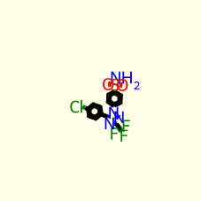 NS(=O)(=O)c1ccc(-n2nc(C(F)(F)F)nc2-c2ccc(Cl)cc2)cc1